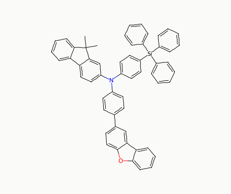 CC1(C)c2ccccc2-c2ccc(N(c3ccc(-c4ccc5oc6ccccc6c5c4)cc3)c3ccc([Si](c4ccccc4)(c4ccccc4)c4ccccc4)cc3)cc21